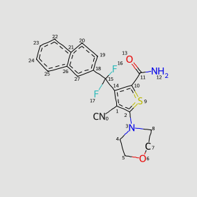 [C-]#[N+]c1c(N2CCOCC2)sc(C(N)=O)c1C(F)(F)c1ccc2ccccc2c1